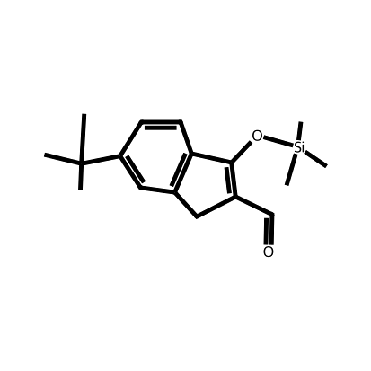 CC(C)(C)c1ccc2c(c1)CC(C=O)=C2O[Si](C)(C)C